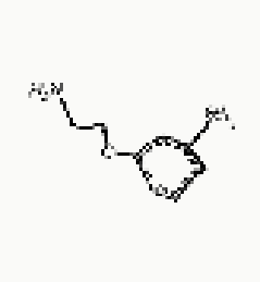 NCCOc1cc(N)ccn1